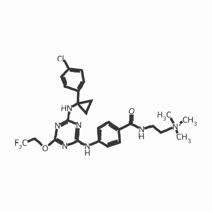 C[N+](C)(C)CCNC(=O)c1ccc(Nc2nc(NC3(c4ccc(Cl)cc4)CC3)nc(OCC(F)(F)F)n2)cc1